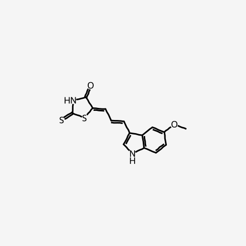 COc1ccc2[nH]cc(C=CC=C3SC(=S)NC3=O)c2c1